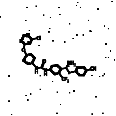 N#Cc1ccc(CC(N)c2ccc(NC(=O)Nc3ccc(Oc4cc(Cl)ncn4)cc3)cc2C(F)(F)F)cc1